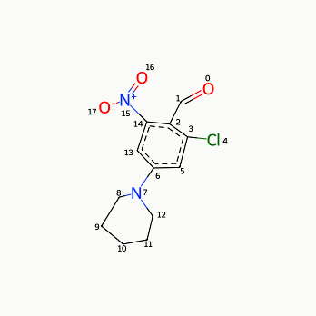 O=Cc1c(Cl)cc(N2CCCCC2)cc1[N+](=O)[O-]